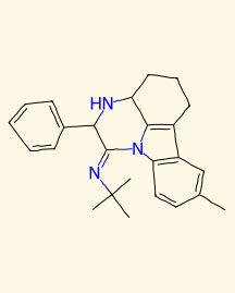 Cc1ccc2c(c1)c1c3n2/C(=N\C(C)(C)C)C(c2ccccc2)NC3CCC1